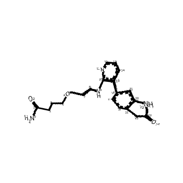 NC(=O)CCCOCCNc1ncccc1-c1ccc2c(c1)NC(=O)C2